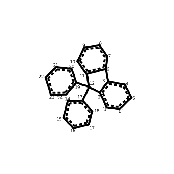 [c]1[c]c2c(cc1)-c1ccccc1C2(c1ccccc1)c1ccccc1